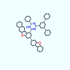 c1ccc(-c2cc(C3=NC(c4ccccc4)NC(c4cc(-c5ccc6c(c5)oc5ccccc56)cc5oc6cc7ccccc7cc6c45)=N3)cc(-c3ccccc3)c2)cc1